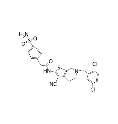 N#Cc1c(NC(=O)Cc2ccc(S(N)(=O)=O)cc2)sc2c1CCN(Cc1cc(Cl)ccc1Cl)C2